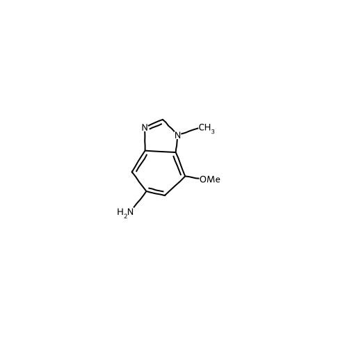 COc1cc(N)cc2ncn(C)c12